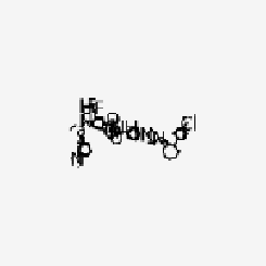 CC[C@H](CSc1cccc(N(C)C)c1)Nc1ccc(S(=O)(=O)NC(=O)c2ccc(N3CCN(CC4=C(c5ccc(Cl)cc5)CCCCC4)CC3)cc2)cc1C(F)(F)F